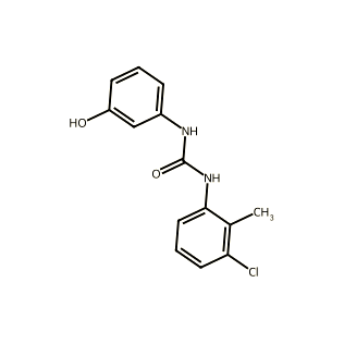 Cc1c(Cl)cccc1NC(=O)Nc1cccc(O)c1